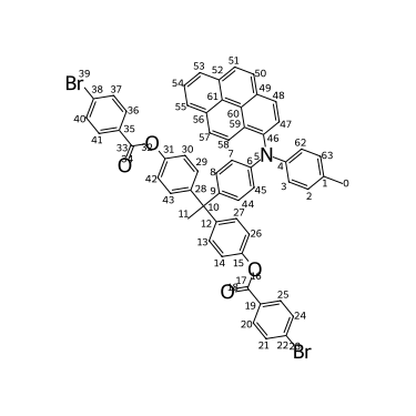 Cc1ccc(N(c2ccc(C(C)(c3ccc(OC(=O)c4ccc(Br)cc4)cc3)c3ccc(OC(=O)c4ccc(Br)cc4)cc3)cc2)c2ccc3ccc4cccc5ccc2c3c45)cc1